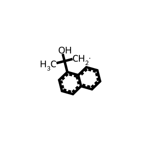 [CH2]C(C)(O)c1cccc2ccccc12